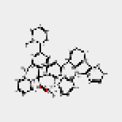 CN1CC=CCC1c1ccc2c(c1)Oc1ccccc1C21C2=CC=CCC2(C)Oc2cc(C3=CCCc4c5c(n(-c6ccccc6)c43)C=CCC5)ccc21